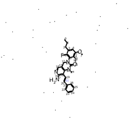 CCCc1cc(OC)c(F)c(N2Cc3cnc(N)c(/C=C/c4ccccc4)c3N(C)C2=O)c1F